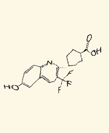 O=C(O)[C@H]1CC[C@H](c2nc3ccc(O)cc3cc2C(F)(F)F)CC1